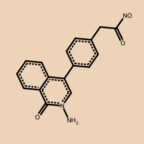 Nn1cc(-c2ccc(CC(=O)N=O)cc2)c2ccccc2c1=O